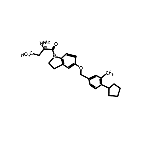 CN[C@H](CC(=O)O)C(=O)N1CCc2cc(OCc3ccc(C4CCCC4)c(C(F)(F)F)c3)ccc21